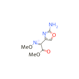 CO/N=C(\C(=O)OC)c1coc(N)n1